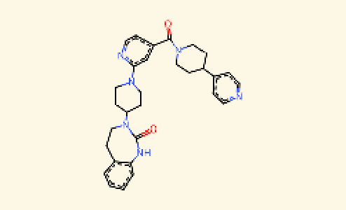 O=C(c1ccnc(N2CCC(N3CCc4ccccc4NC3=O)CC2)c1)N1CCC(c2ccncc2)CC1